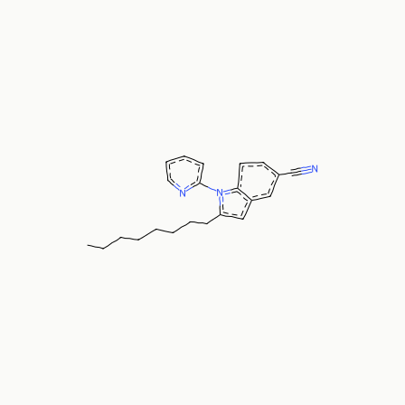 CCCCCCCCc1cc2cc(C#N)ccc2n1-c1ccccn1